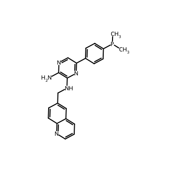 CP(C)c1ccc(-c2cnc(N)c(NCc3ccc4ncccc4c3)n2)cc1